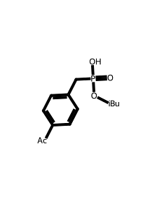 CCC(C)OP(=O)(O)Cc1ccc(C(C)=O)cc1